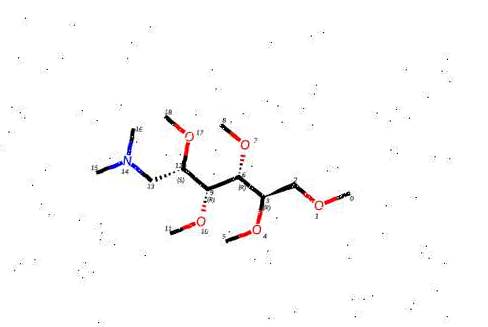 COC[C@@H](OC)[C@@H](OC)[C@H](OC)[C@H](CN(C)C)OC